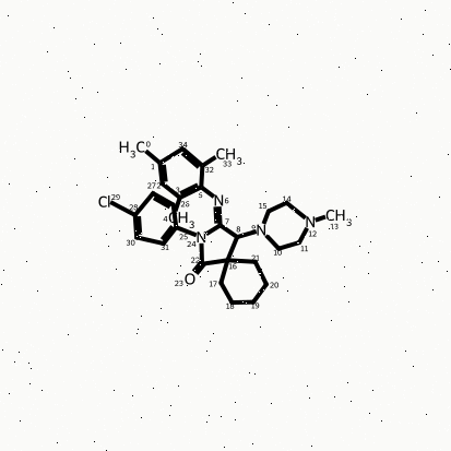 Cc1cc(C)c(N=C2C(N3CCN(C)CC3)C3(CCCCC3)C(=O)N2c2ccc(Cl)cc2)c(C)c1